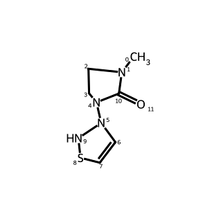 CN1CCN(N2C=CSN2)C1=O